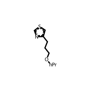 [CH2]CCOCCCc1cscn1